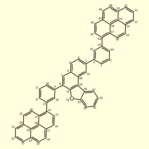 c1cc(-c2ccc3cc(-c4cccc(-c5ccc6ccc7cccc8ccc5c6c78)c4)c4oc5ccccc5c4c3c2)cc(-c2ccc3ccc4cccc5ccc2c3c45)c1